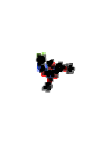 CC(C)(C)OC(=O)n1c(-c2cc(C(=O)Nc3cnn(Cc4ccc(F)c(F)c4)c3)cn(COCC[Si](C)(C)C)c2=O)cc2cc(CO[Si](C)(C)C(C)(C)C)ccc21